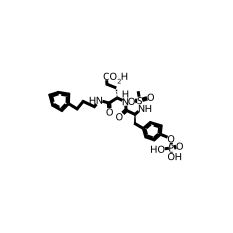 CS(=O)(=O)N[C@@H](Cc1ccc(OP(=O)(O)O)cc1)C(=O)N[C@@H](CCC(=O)O)C(=O)NCCCc1ccccc1